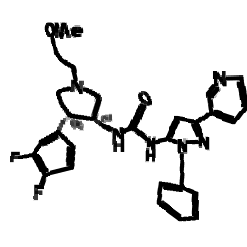 COCCN1C[C@@H](NC(=O)Nc2cc(-c3cccnc3)nn2-c2ccccc2)[C@H](c2ccc(F)c(F)c2)C1